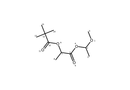 COC(C)OC(=O)C(C)OC(=O)C(C)(C)C